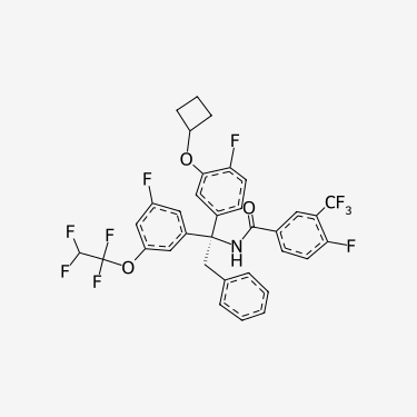 O=C(N[C@@](Cc1ccccc1)(c1cc(F)cc(OC(F)(F)C(F)F)c1)c1ccc(F)c(OC2CCC2)c1)c1ccc(F)c(C(F)(F)F)c1